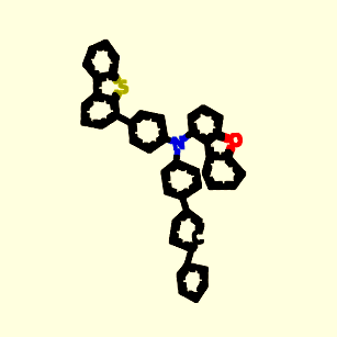 c1ccc(-c2ccc(-c3ccc(N(c4ccc(-c5cccc6c5sc5ccccc56)cc4)c4cccc5oc6ccccc6c45)cc3)cc2)cc1